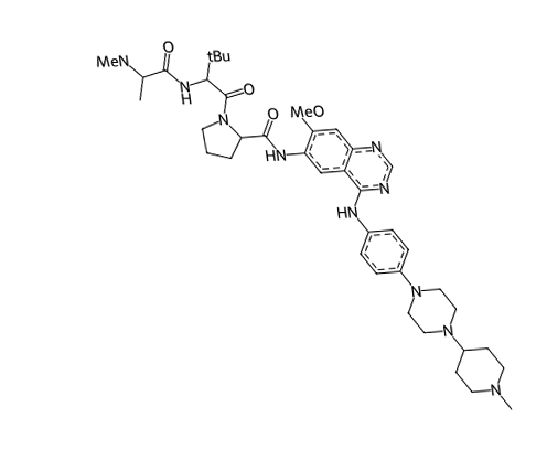 CNC(C)C(=O)NC(C(=O)N1CCCC1C(=O)Nc1cc2c(Nc3ccc(N4CCN(C5CCN(C)CC5)CC4)cc3)ncnc2cc1OC)C(C)(C)C